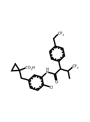 CC(C(C(=O)Nc1cc(CC2(C(=O)O)CC2)ccc1Cl)c1ccc(CC(F)(F)F)cc1)C(F)(F)F